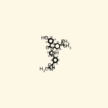 Cc1nnc(-c2cccc(N3C=CC(N(C(=O)c4cccc(O)c4)C4CCC(N(C)C)CC4)N3)c2)o1